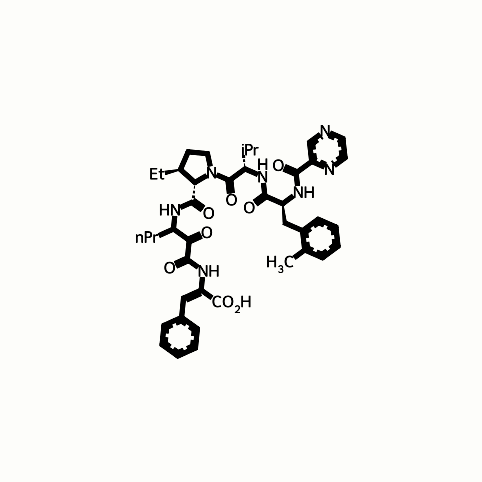 CCCC(NC(=O)[C@@H]1[C@@H](CC)CCN1C(=O)[C@@H](NC(=O)[C@H](Cc1ccccc1C)NC(=O)c1cnccn1)C(C)C)C(=O)C(=O)N/C(=C/c1ccccc1)C(=O)O